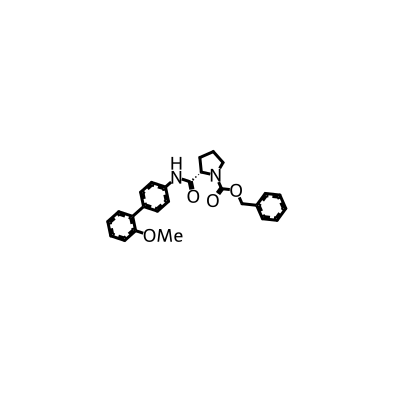 COc1ccccc1-c1ccc(NC(=O)[C@@H]2CCCN2C(=O)OCc2ccccc2)cc1